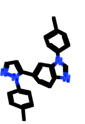 Cc1ccc(-n2nccc2-c2ccc3ncn(-c4ccc(C)cc4)c3c2)cc1